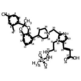 CC1(c2ccc(Cl)cc2F)Oc2cccc(C3CCN(Cc4ncc(/C=C/C(=O)O)n4CCNNS(C)(=O)=O)CC3)c2O1